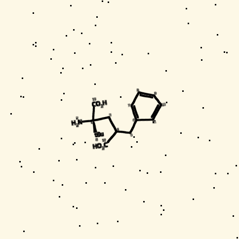 CC(C)(C)[C@](N)(CC(Cc1ccccc1)C(=O)O)C(=O)O